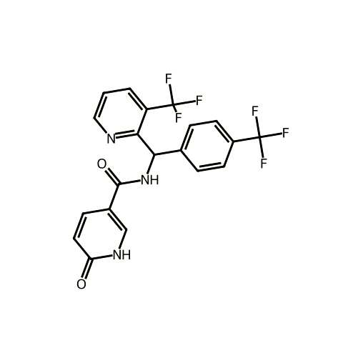 O=C(NC(c1ccc(C(F)(F)F)cc1)c1ncccc1C(F)(F)F)c1ccc(=O)[nH]c1